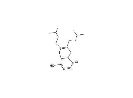 CC(C)CCC1=C(CCC(C)C)CC(C(=O)O)C(C(=O)O)C1